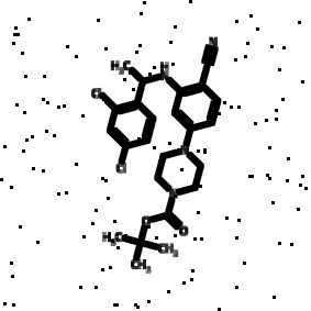 CC(Nc1cc(N2CCN(C(=O)OC(C)(C)C)CC2)ccc1C#N)c1ccc(Cl)cc1Cl